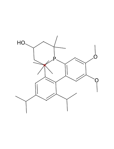 COc1cc(-c2c(C(C)C)cc(C(C)C)cc2C(C)C)c(P2C(C)(C)CC(O)CC2(C)C)cc1OC